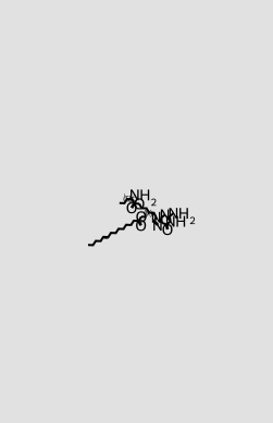 CCCCC=CCCCCCCCC(=O)OC[C@H](CCOC(=O)[C@@H](N)[C@@H](C)CC)Cn1cnc2c(=O)[nH]c(N)nc21